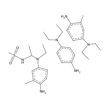 CCN(CC)c1ccc(N)c(C)c1.CCN(CC)c1ccc(N)cc1.CCN(c1ccc(N)c(C)c1)C(C)NS(C)(=O)=O